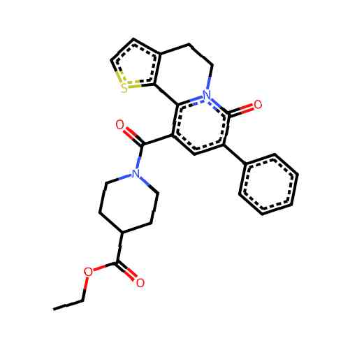 CCOC(=O)C1CCN(C(=O)c2cc(-c3ccccc3)c(=O)n3c2-c2sccc2CC3)CC1